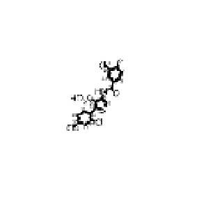 Cc1ccc(C(=O)Nc2csc(-c3ccc(Cl)cc3Cl)c2C(=O)O)cc1Cl